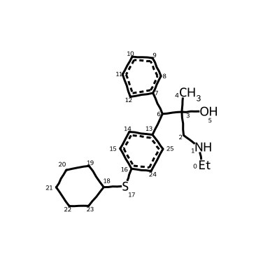 CCNCC(C)(O)C(c1ccccc1)c1ccc(SC2CCCCC2)cc1